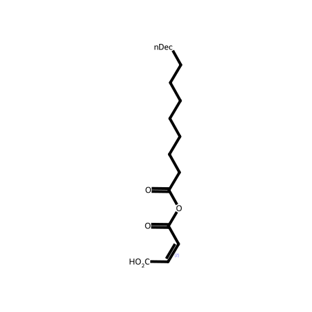 CCCCCCCCCCCCCCCCCC(=O)OC(=O)/C=C\C(=O)O